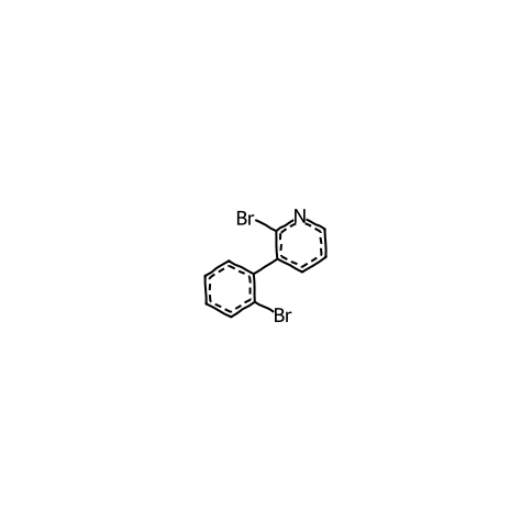 Brc1ccccc1-c1cccnc1Br